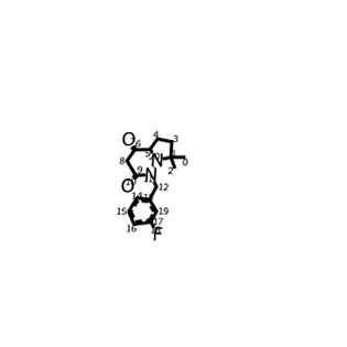 CC1(C)CCC2C(=O)CC(=O)N(Cc3cccc(F)c3)N21